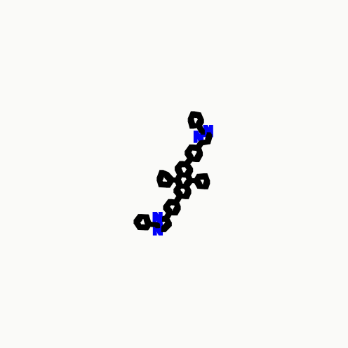 c1ccc(-c2nccc(-c3ccc(-c4ccc5c(-c6ccccc6)c6cc(-c7ccc(-c8ccnc(-c9ccccc9)n8)cc7)ccc6c(-c6ccccc6)c5c4)cc3)n2)cc1